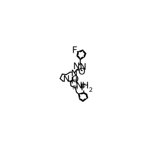 N[C@@H](CC(=O)N1CCCC1CNc1nc(-c2cccc(F)c2)no1)Cc1ccccc1F